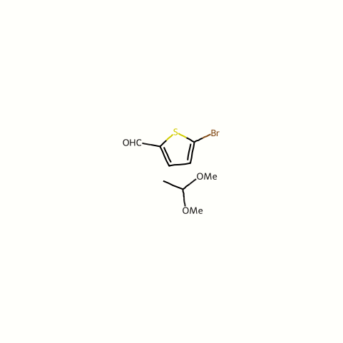 COC(C)OC.O=Cc1ccc(Br)s1